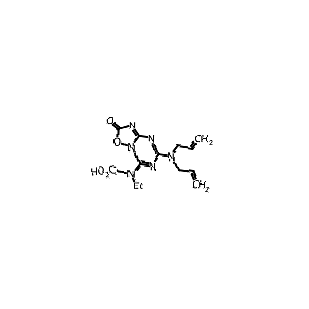 C=CCN(CC=C)c1nc(N(CC)C(=O)O)n2oc(=O)nc2n1